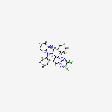 Clc1nc2cc(-c3ccccc3)c(-c3nc4ccccc4nc3-c3ccccc3)nc2nc1Cl